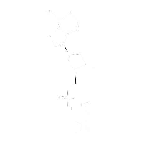 Nc1ncnc2c1ncn2[C@H]1C[C@H](O)[C@@H](COP(O)(=S)OP(=O)(O)OP(=O)(O)O)O1